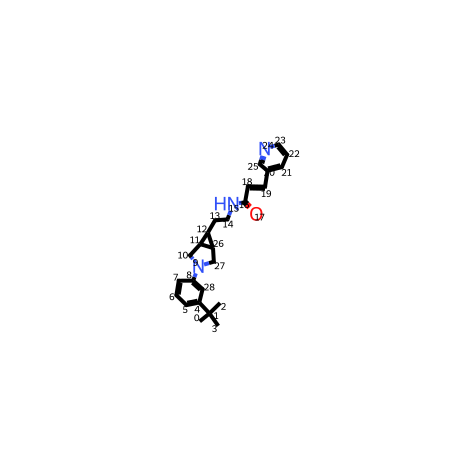 CC(C)(C)c1cccc(N2CC3C(CCNC(=O)/C=C/c4cccnc4)C3C2)c1